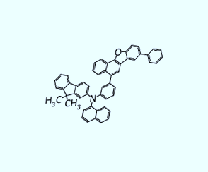 CC1(C)c2ccccc2-c2ccc(N(c3cccc(-c4cc5c6cc(-c7ccccc7)ccc6oc5c5ccccc45)c3)c3cccc4ccccc34)cc21